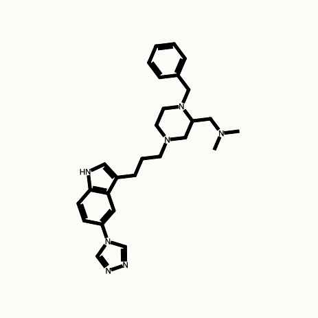 CN(C)CC1CN(CCCc2c[nH]c3ccc(-n4cnnc4)cc23)CCN1Cc1ccccc1